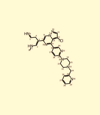 CN/C=C(\CC=N)c1cn2ncc(Cl)c2c(-c2ccc(N3CCN(Cc4ccccn4)CC3)nc2)n1